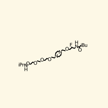 CCC(C)C(=O)NCC(F)COCCN1CCN(CCOCCOCCOCCONC(C)C)CC1